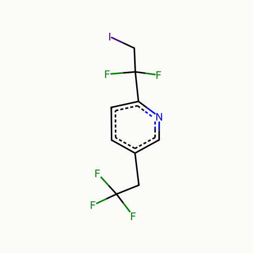 FC(F)(F)Cc1ccc(C(F)(F)CI)nc1